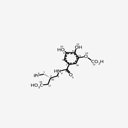 CC(C)C[C@H](CNC(=O)c1cc(O)c(O)c(OC(=O)O)c1)CC(=O)O